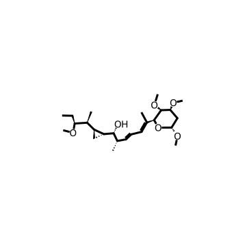 CC[C@H](OC)[C@@H](C)[C@@H]1C[C@H]1[C@H](O)[C@@H](C)/C=C/C=C(\C)[C@@H]1O[C@@H](OC)C[C@H](OC)[C@@H]1OC